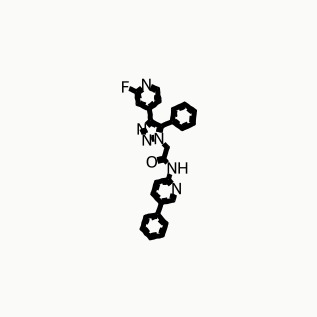 O=C(Cn1nnc(-c2ccnc(F)c2)c1-c1ccccc1)Nc1ccc(-c2ccccc2)cn1